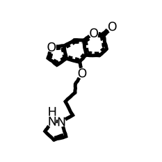 O=c1ccc2c(OCCCCN3C=CCN3)c3ccoc3cc2o1